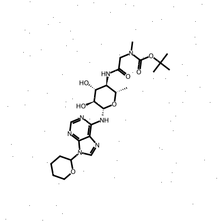 C[C@@H]1O[C@H](Nc2ncnc3c2ncn3C2CCCCO2)[C@@H](O)[C@H](O)[C@H]1NC(=O)CN(C)C(=O)OC(C)(C)C